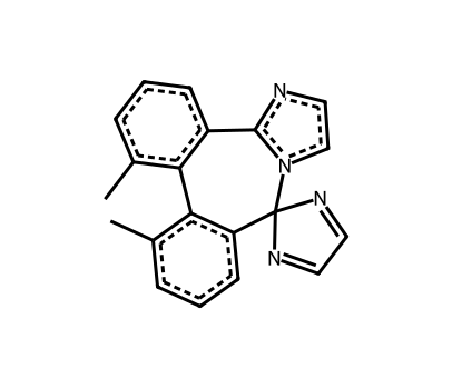 Cc1cccc2c1-c1c(C)cccc1C1(N=CC=N1)n1ccnc1-2